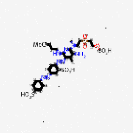 COCCCNc1nc(N(C)CCS(=O)(=O)CCOS(=O)(=O)O)c(N)c(C)c1/N=N/c1ccc(/N=N/c2ccc(S(=O)(=O)O)cc2)cc1S(=O)(=O)O